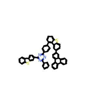 c1ccc(-c2nc(-c3ccc(-c4cccc5sc6ccc(-c7ccc8c9ccccc9c9ccccc9c8c7)cc6c45)cc3)nc(-c3ccc4c(c3)sc3ccccc34)n2)cc1